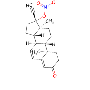 C#C[C@]1(O[N+](=O)[O-])CC[C@H]2[C@@H]3C=CC4=CC(=O)CC[C@]4(C)[C@H]3CC[C@@]21C